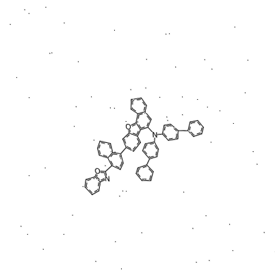 c1ccc(-c2ccc(N(c3ccc(-c4ccccc4)cc3)c3cc4ccccc4c4oc5cc(-c6ccc(-c7nc8ccccc8o7)c7ccccc67)ccc5c34)cc2)cc1